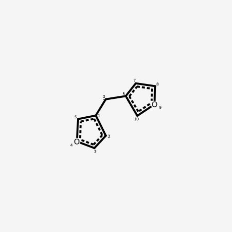 [CH](c1ccoc1)c1ccoc1